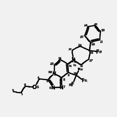 CCCOCc1nnc2c(C(F)(F)F)c(N3CCC(F)(c4ccccc4)CC3)ccn12